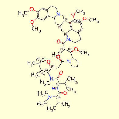 CC[C@H]1CN2CCc3cc(OC)c(OC)cc3C2C[C@@H]1C[C@@H]1c2cc(OC)c(OC)cc2CCN1C(=O)[C@H](C)[C@@H](OC)C1CCCN1C(=O)C[C@@H](OC)[C@H]([C@@H](C)CC)N(C)C(=O)[C@@H](NC(=O)[C@H](C(C)C)N(C)C)C(C)C